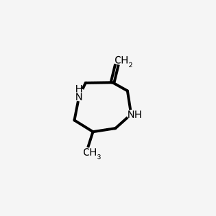 C=C1CNCC(C)CNC1